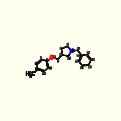 Cc1ccc(OCC2CCN(Cc3ccccc3)C2)cc1